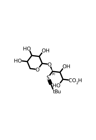 CC(C)(C)C#S[C@@H](OC1OCC(O)C(O)C1O)C(O)C(O)C(=O)O